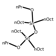 CCCCCCC[CH2][Sn]([CH2]CCCCCCC)([O]CCC)[O][Sn]([CH2]CCCCCCC)([CH2]CCCCCCC)[O]CCC